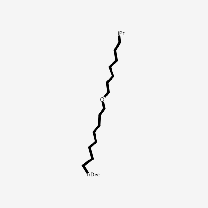 [CH2]CCCCCCCCCCCCCCCCCOCCCCCCCC(C)C